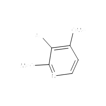 COc1ccnc(OC)c1C(C)=O